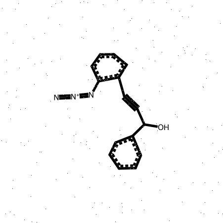 [N-]=[N+]=Nc1ccccc1C#CC(O)c1ccccc1